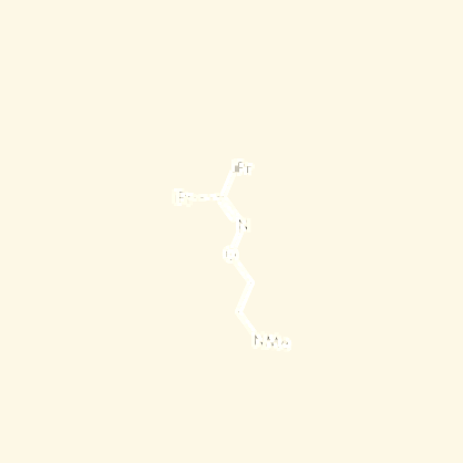 CNCCON=C(C(C)C)C(C)C